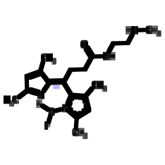 CNCCNC(=O)CC/C(=C1/N=C(C)C=C1C)c1c(C)cc(C)n1B(F)F